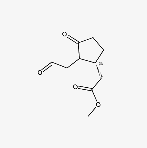 COC(=O)C[C@H]1CCC(=O)C1CC=O